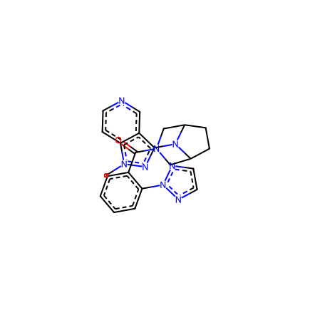 Cn1nc(N2C3CCC2CN(C(=O)c2ccccc2-n2nccn2)C3)c2cnccc21